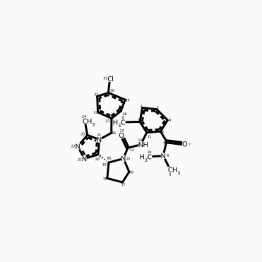 Cc1cccc(C(=O)N(C)C)c1NC(=O)N1CCC[C@@H]1c1nnc(C)n1Cc1ccc(Cl)cc1